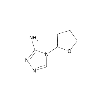 Nc1nncn1C1CCCO1